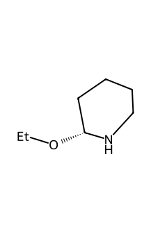 CCO[C@@H]1CCCCN1